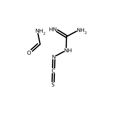 N=C(N)NN=C=S.NC=O